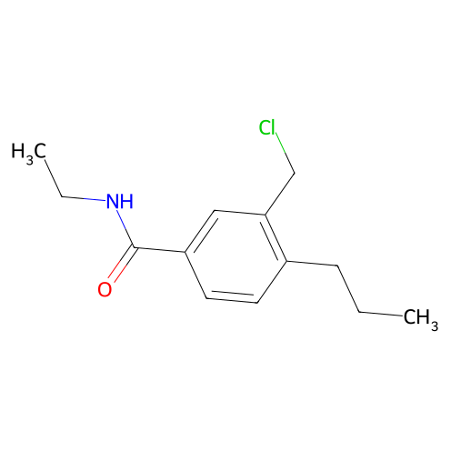 CCCc1ccc(C(=O)NCC)cc1CCl